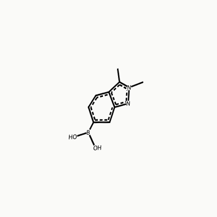 Cc1c2ccc(B(O)O)cc2nn1C